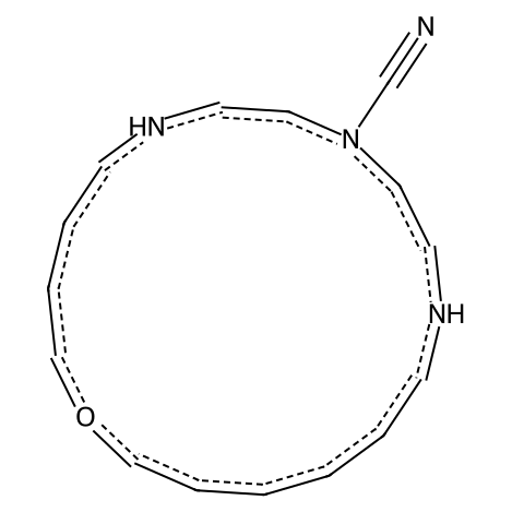 N#Cn1cc[nH]ccccccocccc[nH]cc1